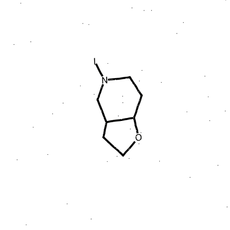 IN1CCC2OCCC2C1